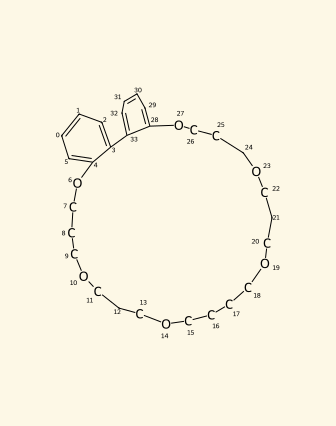 c1ccc2c(c1)OCCCOCCCOCCCCOCCCOCCCOc1ccccc1-2